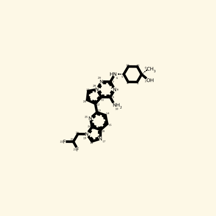 C[C@]1(O)CC[C@H](Nc2nc(N)c3c(-c4ccc5ncn(CC(F)F)c5n4)ccn3n2)CC1